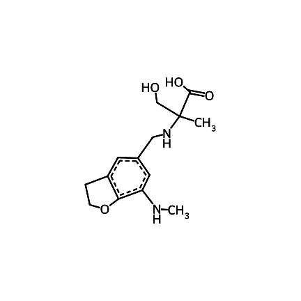 CNc1cc(CNC(C)(CO)C(=O)O)cc2c1OCC2